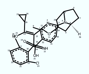 Cc1nc(N2C3CC[C@H]2CC(OC/C(C(=N)c2c(F)cccc2Cl)=C(/O)C2CC2)C3)ccc1C(=O)O